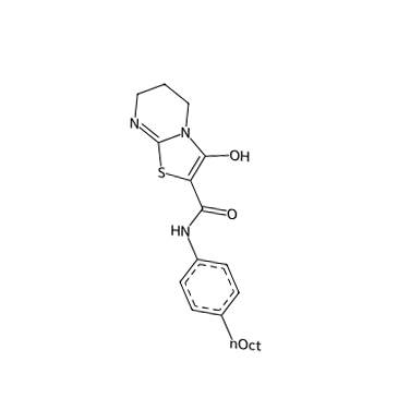 CCCCCCCCc1ccc(NC(=O)C2=C(O)N3CCCN=C3S2)cc1